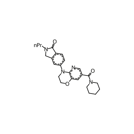 CCCN1Cc2cc(N3CCOc4cc(C(=O)N5CCCCC5)cnc43)ccc2C1=O